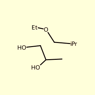 CC(O)CO.CCOCC(C)C